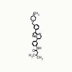 CC(C)CC(=O)Nc1cccc(-c2ccnc3c(-c4cccc(CN5CCN(C)CC5)c4)cnn23)c1